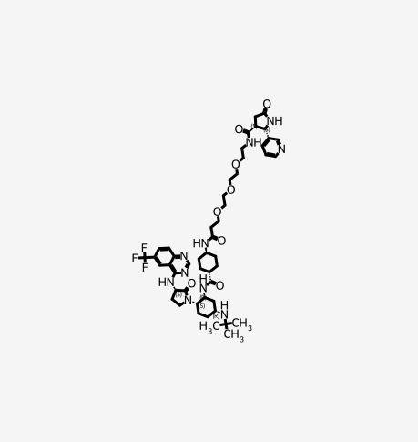 CC(C)(C)N[C@@H]1CC[C@H](N2CC[C@H](Nc3ncnc4ccc(C(F)(F)F)cc34)C2=O)[C@H](NC(=O)[C@H]2CC[C@H](NC(=O)CCOCCOCCOCCNC(=O)[C@H]3CC(=O)N[C@@H]3c3cccnc3)CC2)C1